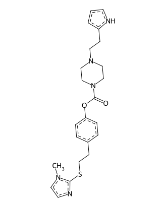 Cn1ccnc1SCCc1ccc(OC(=O)N2CCN(CCc3ccc[nH]3)CC2)cc1